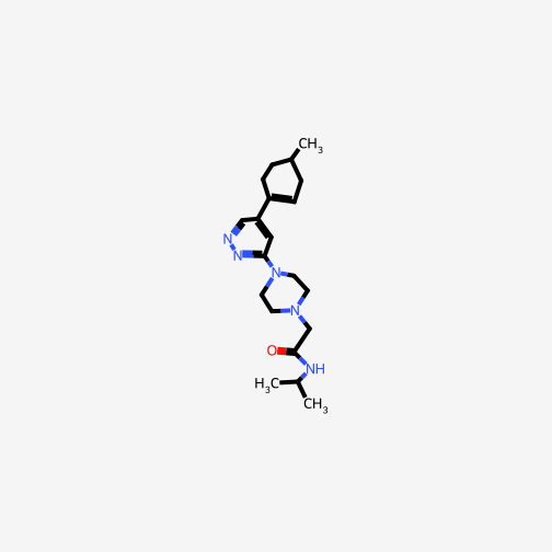 CC1CC=C(c2cnnc(N3CCN(CC(=O)NC(C)C)CC3)c2)CC1